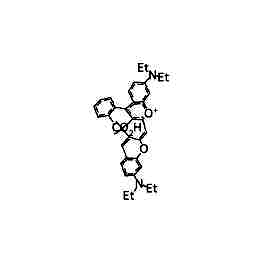 CCN(CC)c1ccc2c(c1)OC1=Cc3[o+]c4cc(N(CC)CC)ccc4c(-c4ccccc4C(=O)O)c3C(C)(C)C1=C2